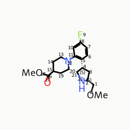 COC[C@@H]1C[C@@H](c2ccc(F)cc2N2CCC(C(=O)OC)CC2)CN1